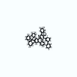 c1ccc(-c2cccc(-c3nc(-c4cc5c(cc4-c4ccccc4)-c4ccccc4C5(c4ccccc4)c4ccccc4)nc4c3oc3ccccc34)c2)cc1